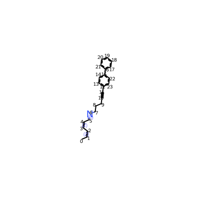 C\C=C/C=C\C=N\CCCC#Cc1ccc(-c2ccccc2)cc1